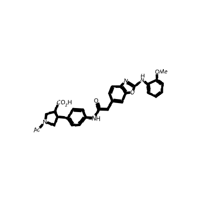 COc1ccccc1Nc1nc2ccc(CC(=O)Nc3ccc(C4CN(C(C)=O)CC4C(=O)O)cc3)cc2o1